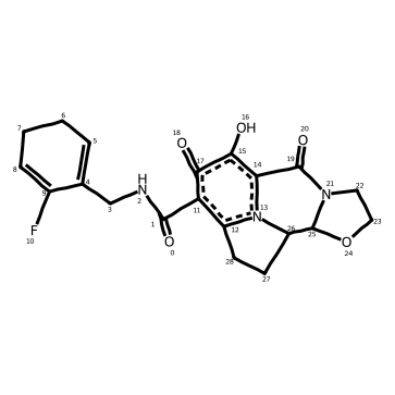 O=C(NCC1=CCCC=C1F)c1c2n3c(c(O)c1=O)C(=O)N1CCOC1C3CC2